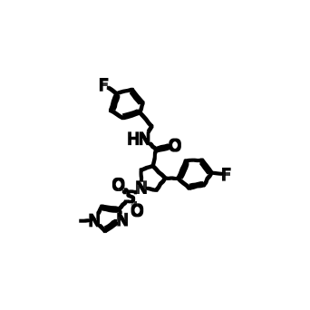 Cn1cnc(S(=O)(=O)N2CC(C(=O)NCc3ccc(F)cc3)C(c3ccc(F)cc3)C2)c1